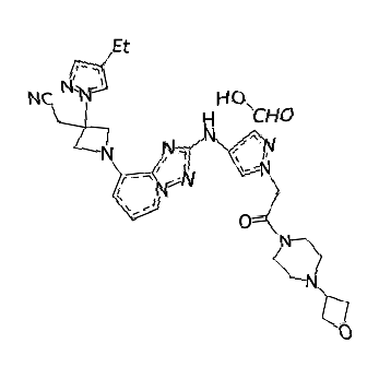 CCc1cnn(C2(CC#N)CN(c3cccn4nc(Nc5cnn(CC(=O)N6CCN(C7COC7)CC6)c5)nc34)C2)c1.O=CO